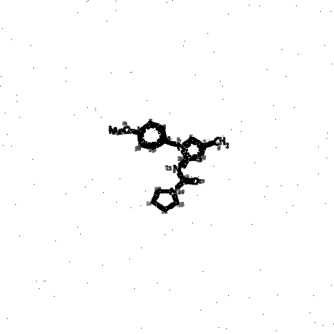 COc1ccc(-n2cc(C)s/c2=N\C(=O)N2CCCC2)cc1